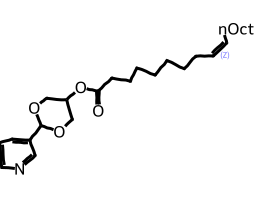 CCCCCCCC/C=C\CCCCCCCC(=O)OC1COC(c2cccnc2)OC1